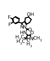 CNC(=O)C(NC(=O)n1nc(-c2ccc(F)c(F)c2)c2c1CCC(O)C2)C(C)(C)C